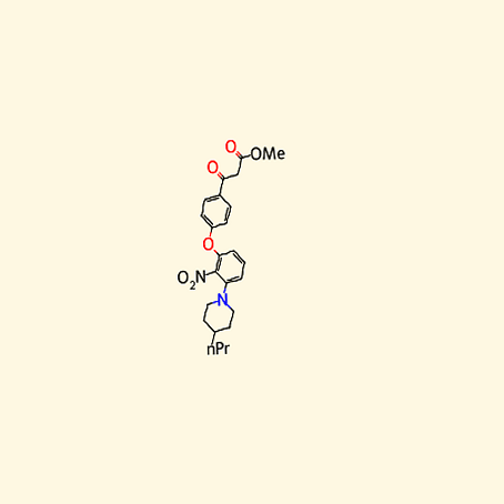 CCCC1CCN(c2cccc(Oc3ccc(C(=O)CC(=O)OC)cc3)c2[N+](=O)[O-])CC1